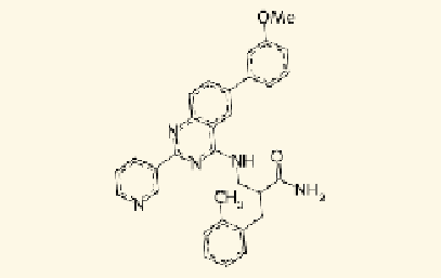 COc1cccc(-c2ccc3nc(-c4cccnc4)nc(NCC(Cc4ccccc4C)C(N)=O)c3c2)c1